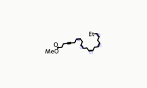 CC/C=C\C/C=C\C/C=C\C/C=C\C/C=C\CC#CCCC(=O)OC